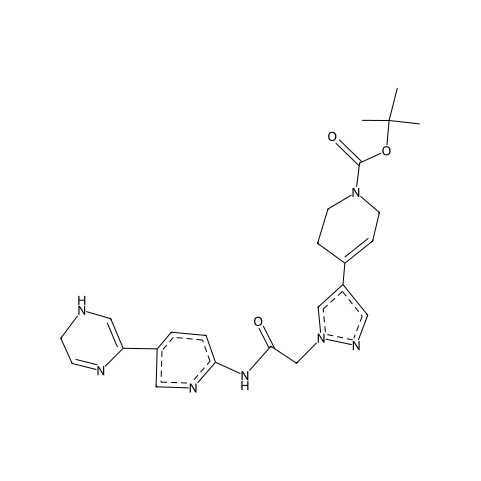 CC(C)(C)OC(=O)N1CC=C(c2cnn(CC(=O)Nc3ccc(C4=CNCC=N4)cn3)c2)CC1